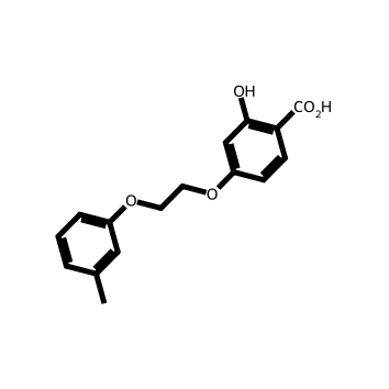 Cc1cccc(OCCOc2ccc(C(=O)O)c(O)c2)c1